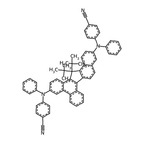 CC(C)(C)C1(C(C)(C)C)c2c(ccc3cc(N(c4ccccc4)c4ccc(C#N)cc4)ccc23)-c2c1c1ccc(N(c3ccccc3)c3ccc(C#N)cc3)cc1c1ccccc21